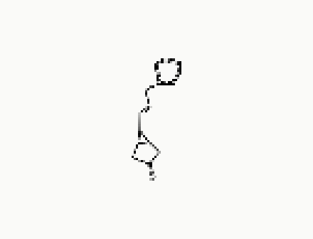 O=C1CC2C(C=CCc3ccccc3)C2C1